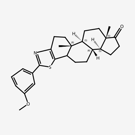 COc1cccc(-c2nc3c(s2)C2CC[C@@H]4[C@H](CC[C@]5(C)C(=O)CC[C@@H]45)[C@@]2(C)CC3)c1